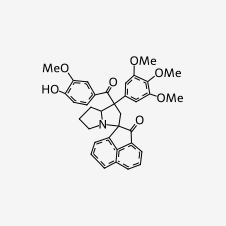 COc1cc(C(=O)C2(c3cc(OC)c(OC)c(OC)c3)CC3(C(=O)c4cccc5cccc3c45)N3CCCC32)ccc1O